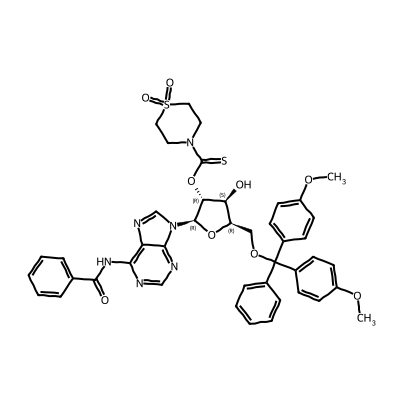 COc1ccc(C(OC[C@H]2O[C@@H](n3cnc4c(NC(=O)c5ccccc5)ncnc43)[C@H](OC(=S)N3CCS(=O)(=O)CC3)[C@H]2O)(c2ccccc2)c2ccc(OC)cc2)cc1